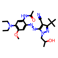 CCN(CC)c1cc(NC(C)=O)c(/N=N/c2c(C#N)c(C(C)(C)C)nn2CC(C)O)cc1OC